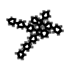 c1ccc(-c2ccc(-c3ccc(-c4c(-c5c(-c6ccc(-c7ccccc7)cc6)n(-c6ccccc6)c6ccccc56)c5ccccc5n4-c4ccc(-c5ccc(-c6ccccc6)cc5)cc4)cc3)cc2)cc1